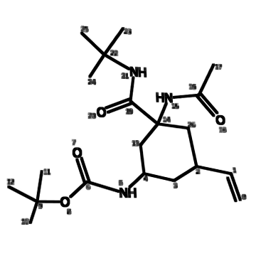 C=CC1CC(NC(=O)OC(C)(C)C)CC(NC(C)=O)(C(=O)NC(C)(C)C)C1